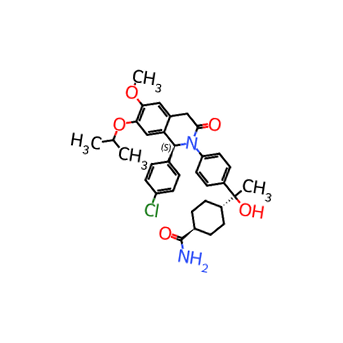 COc1cc2c(cc1OC(C)C)[C@H](c1ccc(Cl)cc1)N(c1ccc(C(C)(O)[C@H]3CC[C@H](C(N)=O)CC3)cc1)C(=O)C2